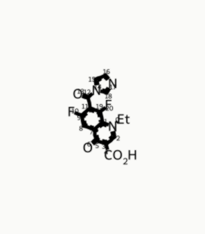 CCn1cc(C(=O)O)c(=O)c2cc(F)c(C(=O)n3ccnc3)c(F)c21